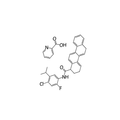 CC(C)c1cc(NC(=O)C2CCC=c3c2ccc2c3=CCc3ccccc3-2)c(F)cc1Cl.O=C(O)c1ccccn1